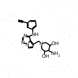 C#Cc1cccc(Nc2ncnn3ccc(CN4CC(O)C(N)C(O)C4)c23)c1